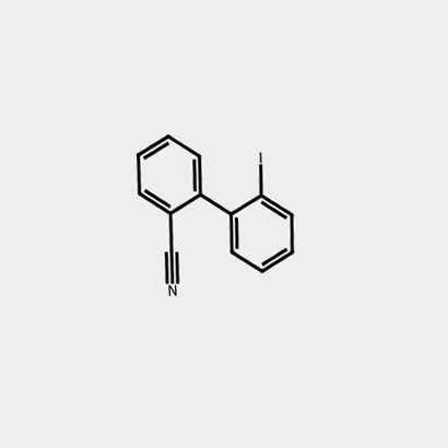 N#Cc1ccccc1-c1ccccc1I